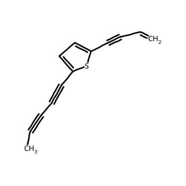 C=CC#Cc1ccc(C#CC#CC)s1